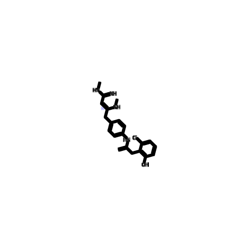 C=C(Cc1c(O)cccc1Cl)Nc1ccc(C/C(=C/C(=N)NC)NC)cc1